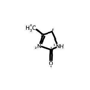 CC1=NC(=O)NC1